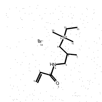 C=CC(=O)NCC(C)C[N+](C)(C)CC.[Br-]